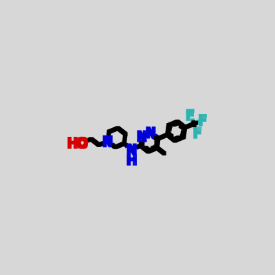 Cc1cc(N[C@@H]2CCCN(CCO)C2)nnc1-c1ccc(C(F)(F)F)cc1